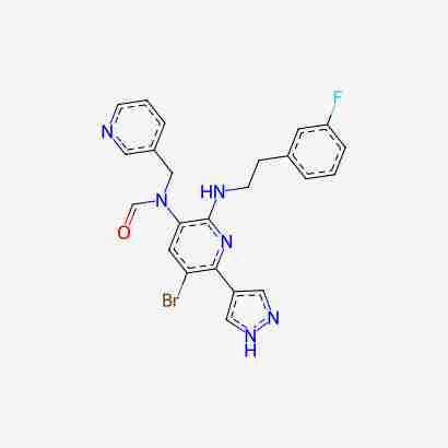 O=CN(Cc1cccnc1)c1cc(Br)c(-c2cn[nH]c2)nc1NCCc1cccc(F)c1